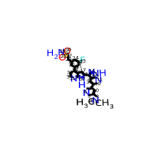 CN(C)Cc1cncc(-c2cnc3[nH]nc(-c4cc5c(-c6cc(F)cc(CCS(N)(=O)=O)c6)ccnc5[nH]4)c3c2)c1